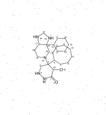 O=C1NNCC(C2CCCCCCC2)(N2CCC3NCNC3(C3CCCCC3)C2)C1Cl